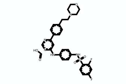 O=CO.O=S(=O)(Nc1ccc(Nc2cc(-c3ccc(CCN4CCOCC4)cc3)ncn2)cc1)c1ccc(F)cc1F